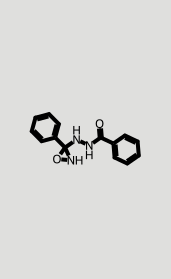 O=C(NNC1(c2ccccc2)NO1)c1ccccc1